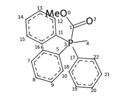 COC(=O)P(C)(c1ccccc1)(c1ccccc1)c1ccccc1